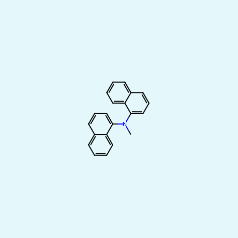 CN(c1cccc2ccccc12)c1cccc2ccccc12